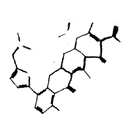 CN(C)Cc1ccc(-c2ccc(O)c3c2C[C@H]2C[C@@H]4C(C(=O)C(C(N)=O)=C(O)[C@H]4N(C)C)C(O)=C2C3=O)[nH]1